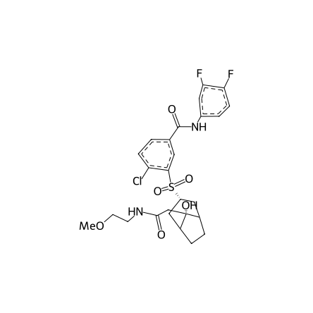 COCCNC(=O)C[C@]1(O)C2CCC1C[C@@H](S(=O)(=O)c1cc(C(=O)Nc3ccc(F)c(F)c3)ccc1Cl)C2